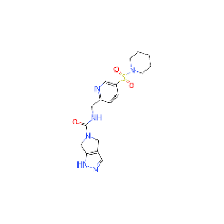 O=C(NCc1ccc(S(=O)(=O)N2CCCCC2)cn1)N1Cc2cn[nH]c2C1